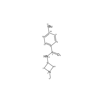 CN1CC(NC(=O)c2ccc(C(C)(C)C)cc2)C1